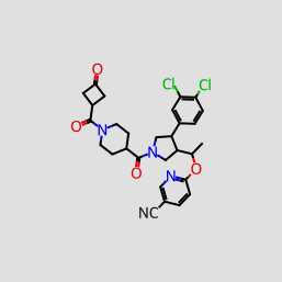 CC(Oc1ccc(C#N)cn1)C1CN(C(=O)C2CCN(C(=O)C3CC(=O)C3)CC2)CC1c1ccc(Cl)c(Cl)c1